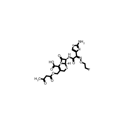 CC(=O)CC(=O)OCC1=C(C(=O)O)N2C(=O)[C@@H](NC(=O)/C(=N\OCCF)c3csc(N)n3)[C@H]2SC1